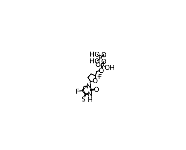 O=c1[nH]c(=S)c(F)cn1[C@H]1CC[C@@](F)(COP(=O)(O)OP(=O)(O)O)O1